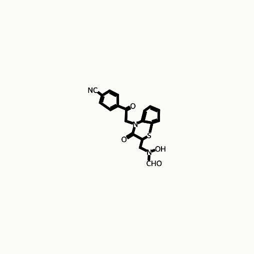 N#Cc1ccc(C(=O)CN2C(=O)C(CN(O)C=O)Sc3ccccc32)cc1